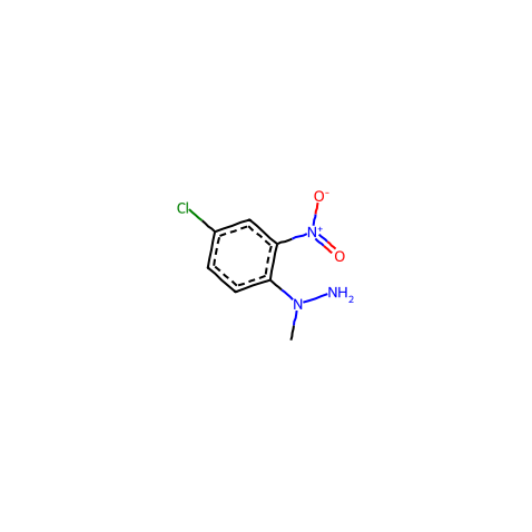 CN(N)c1ccc(Cl)cc1[N+](=O)[O-]